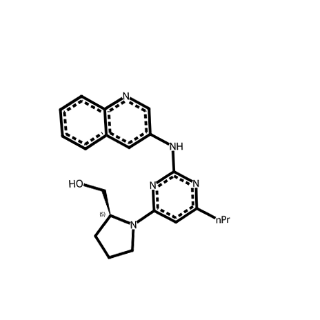 CCCc1cc(N2CCC[C@H]2CO)nc(Nc2cnc3ccccc3c2)n1